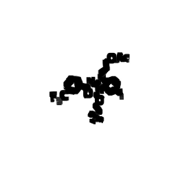 CC(=O)OCCCn1/c(=N/C(=O)c2cccc(C(F)(F)F)c2)n(COCCS(C)(C)C)c2cc(I)ccc21